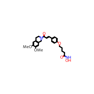 COc1cc2c(cc1OC)CN(C(=O)C=Cc1ccc(OCCCCC(=O)NO)cc1)CC2